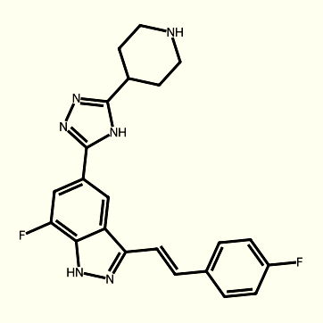 Fc1ccc(C=Cc2n[nH]c3c(F)cc(-c4nnc(C5CCNCC5)[nH]4)cc23)cc1